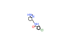 O=C(NCCC1CCCc2[nH]cnc21)c1ccc(Cl)cc1